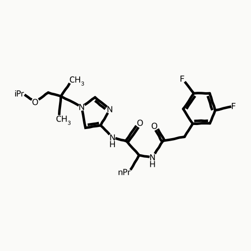 CCCC(NC(=O)Cc1cc(F)cc(F)c1)C(=O)Nc1cn(C(C)(C)COC(C)C)cn1